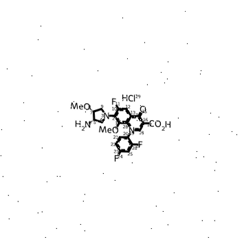 COc1c(N2C[C@H](N)[C@H](OC)C2)c(F)cc2c(=O)c(C(=O)O)cn(-c3ccc(F)cc3F)c12.Cl